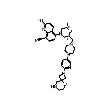 [2H]c1ccc2c(N3C[C@H](CN4CCN(c5ccc(N6CC7(CNCCO7)C6)nc5)CC4)O[C@H](C)C3)ccc(C#N)c2n1